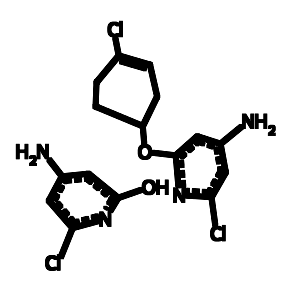 Nc1cc(Cl)nc(OC2CC=C(Cl)CC2)c1.Nc1cc(O)nc(Cl)c1